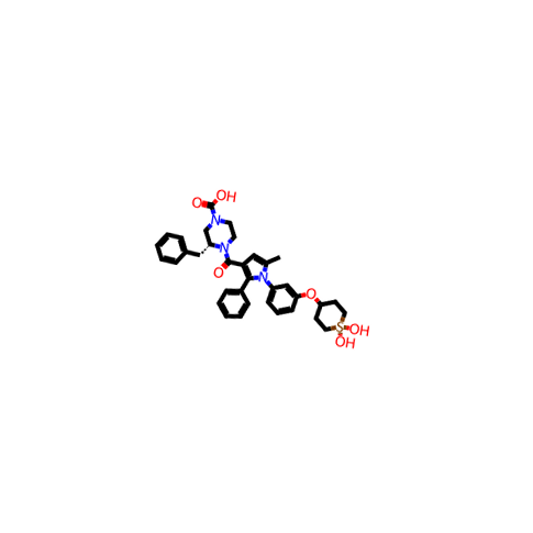 Cc1cc(C(=O)N2CCN(C(=O)O)C[C@H]2Cc2ccccc2)c(-c2ccccc2)n1-c1cccc(OC2CCS(O)(O)CC2)c1